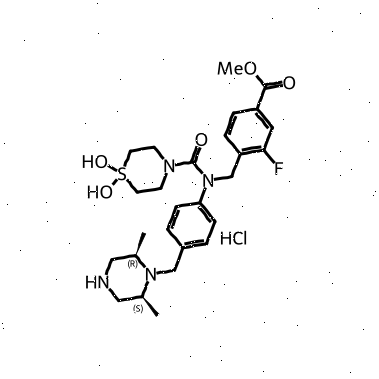 COC(=O)c1ccc(CN(C(=O)N2CCS(O)(O)CC2)c2ccc(CN3[C@H](C)CNC[C@@H]3C)cc2)c(F)c1.Cl